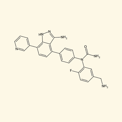 NCc1ccc(F)c(N(C(N)=O)c2ccc(-c3ccc(-c4cccnc4)c4[nH]nc(N)c34)cc2)c1